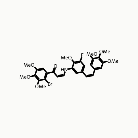 COc1cc(/C=C\c2cc(F)c(OC)c(N/C=C\C(=O)c3cc(OC)c(OC)c(OC)c3Br)c2)cc(OC)c1OC